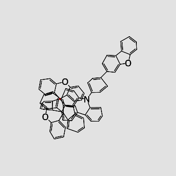 c1ccc2c(c1)Oc1ccccc1C21c2ccccc2-c2ccc(-c3ccccc3N(c3ccc(-c4ccc5c(c4)oc4ccccc45)cc3)c3cccc4c3-c3ccccc3C43c4ccccc4Oc4ccccc43)cc21